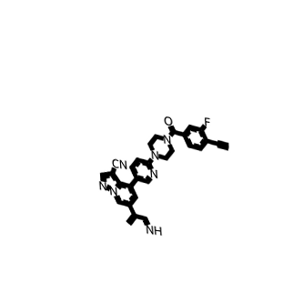 C#Cc1ccc(C(=O)N2CCN(c3ccc(-c4cc(C(=C)C=N)cn5ncc(C#N)c45)cn3)CC2)cc1F